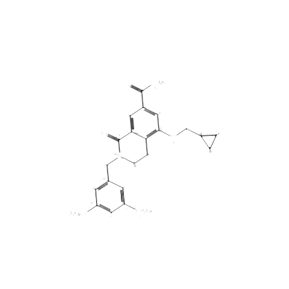 COC(=O)c1cc(OCC2CC2)c2c(c1)C(=O)N(Cc1cc(OC)cc(OC)c1)CC2